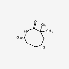 CC1(C)CCCCC(=O)NC1=O.Cl